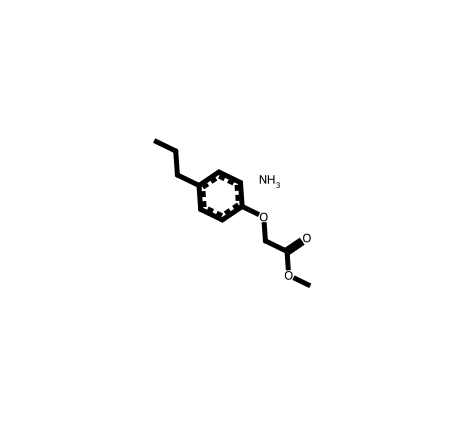 CCCc1ccc(OCC(=O)OC)cc1.N